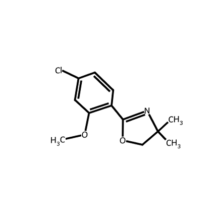 COc1cc(Cl)ccc1C1=NC(C)(C)CO1